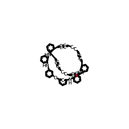 c1cc2cc(c1)Oc1cccc(c1)Nc1ccccc1Nc1c3cccc1-c1ccc(cc1)CCc1ccc(cc1)-c1cccc(c1Nc1ccccc1N2)-c1ccc(cc1)CCc1ccc-3cc1